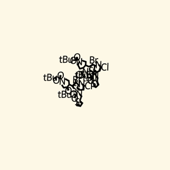 CC(C)(C)OC(=O)N1CCC(=O)C(c2sc3c(N(Cc4cccs4)C(=O)OC(C)(C)C)cc(Cl)nc3c2Br)CC1.CC(C)(C)OC(=O)N1CCC(N[S+]([O-])C(C)(C)C)C(c2sc3c(N(Cc4cccs4)C(=O)OC(C)(C)C)cc(Cl)nc3c2Br)CC1